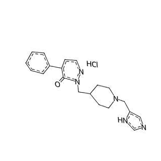 Cl.O=c1c(-c2ccccc2)ccnn1CC1CCN(Cc2cnc[nH]2)CC1